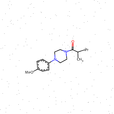 COc1ccc(N2CCN(C(=O)C(C)C(C)C)CC2)cc1